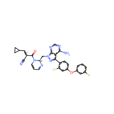 N#C/C(=C\C1CC1)C(=O)N1C=CC=N[C@@H]1Cn1nc(-c2ccc(Oc3cccc(F)c3)cc2F)c2c(N)ncnc21